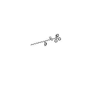 CCCCCCCCCCCCC(CCCCC(=O)OCCC[PH](c1ccccc1)(c1ccccc1)c1ccccc1)n1ccnc1